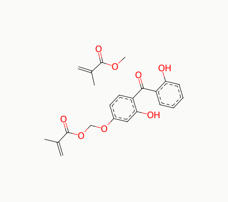 C=C(C)C(=O)OC.C=C(C)C(=O)OCOc1ccc(C(=O)c2ccccc2O)c(O)c1